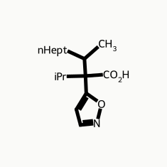 CCCCCCCC(C)C(C(=O)O)(c1ccno1)C(C)C